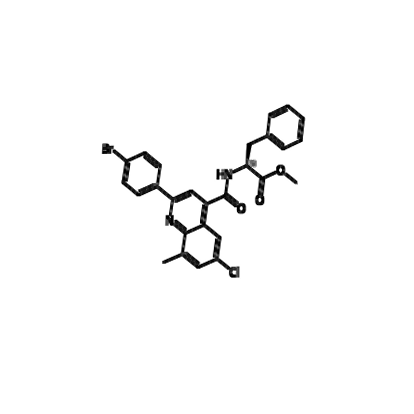 COC(=O)[C@H](Cc1ccccc1)NC(=O)c1cc(-c2ccc(Br)cc2)nc2c(C)cc(Cl)cc12